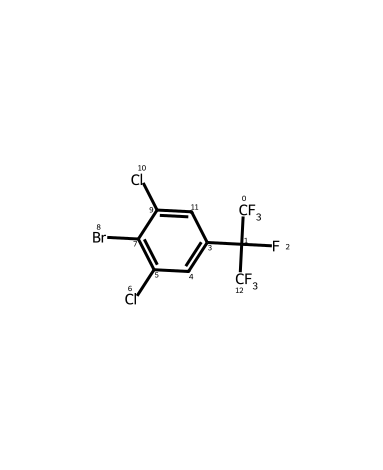 FC(F)(F)C(F)(c1cc(Cl)c(Br)c(Cl)c1)C(F)(F)F